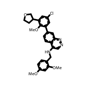 COc1ccc(CNc2cnnc3cc(-c4cc(Cl)cc(C5CCOC5)c4OC)ccc23)c(OC)c1